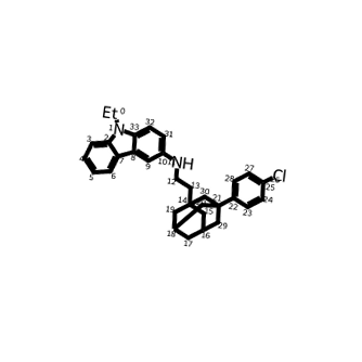 CCn1c2ccccc2c2cc(NCCC34CC5CC(C3)CC(c3ccc(Cl)cc3)(C5)C4)ccc21